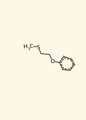 CSCCOc1[c]cccc1